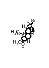 COC[C@@H]1C[C@@](C)(O)C[C@@H]2CC[C@@H]3[C@H](CC[C@]4(C)[C@@H](C(=O)CBr)CC[C@@H]34)C12